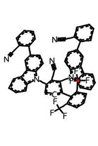 N#Cc1ccccc1-c1ccc2c(c1)c1ccccc1n2-c1ccc(-c2c(C(F)(F)F)cccc2C(F)(F)F)c(-n2c3ccccc3c3cc(-c4ccccc4C#N)ccc32)c1C#N